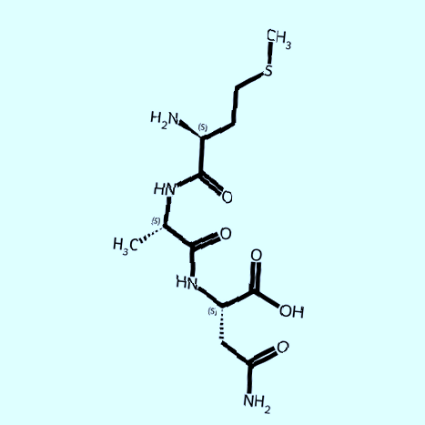 CSCC[C@H](N)C(=O)N[C@@H](C)C(=O)N[C@@H](CC(N)=O)C(=O)O